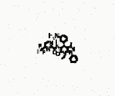 CCN1C(=O)[C@H](NC(=O)c2nccc(C(F)(F)F)n2)[C@@H](c2cccc(N)c2)c2c(C)nn(-c3ccccc3)c21